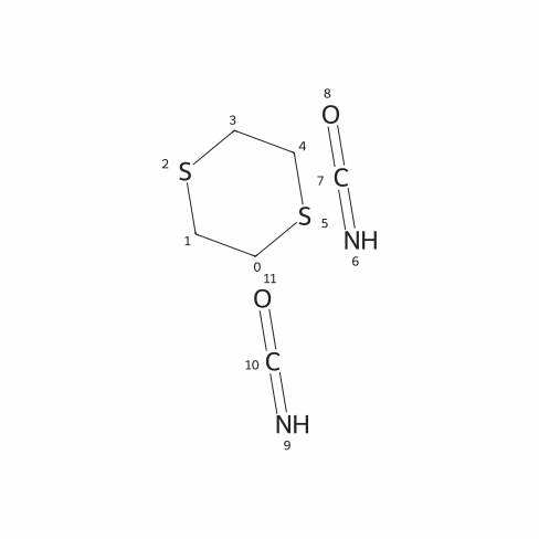 C1CSCCS1.N=C=O.N=C=O